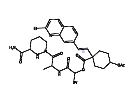 CCc1ccc2ccc(/C=C/C3(C(=O)OC(C(=O)NC(C)C(=O)N4CCCC(C(N)=O)N4)C(C)C)CCC(OC(C)=O)CC3)cc2n1